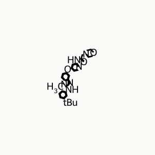 Cn1c(Nc2cccc(C(C)(C)C)c2)nc2cc(Oc3ccnc(NC(=O)CN4CCOCC4)c3)ccc21